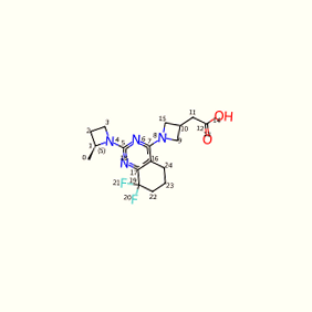 C[C@H]1CCN1c1nc(N2CC(CC(=O)O)C2)c2c(n1)C(F)(F)CCC2